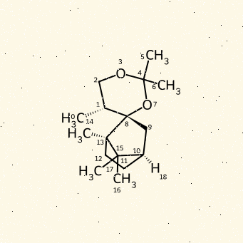 C[C@@H]1COC(C)(C)O[C@@]12C[C@H]1CC[C@]2(C)C1(C)C